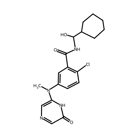 CN(c1ccc(Cl)c(C(=O)NC(O)C2CCCCC2)c1)c1cncc(=O)[nH]1